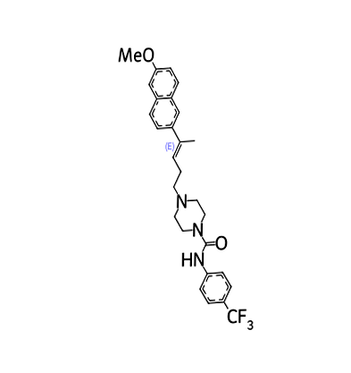 COc1ccc2cc(/C(C)=C/CCN3CCN(C(=O)Nc4ccc(C(F)(F)F)cc4)CC3)ccc2c1